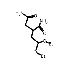 CCOC(CC(CC(N)=O)C(N)=O)OCC